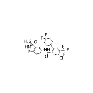 C[S@@](=N)(=O)c1cc(NC(=O)c2cc(Cl)c(C(F)(F)F)cc2N2CCC(F)(F)CC2)ccc1F